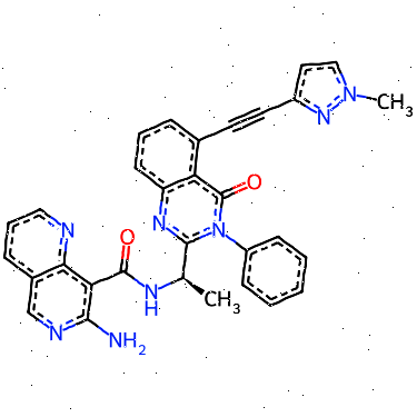 C[C@@H](NC(=O)c1c(N)ncc2cccnc12)c1nc2cccc(C#Cc3ccn(C)n3)c2c(=O)n1-c1ccccc1